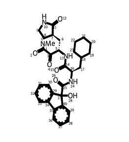 CNC(=O)C(=O)[C@H](C[C@H]1CCNC1=O)NC(=O)[C@@H](CC1CCCCC1)NC(=O)C1(O)c2ccccc2-c2ccccc21